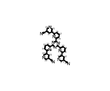 N#Cc1cncc(-c2cccc(-c3nc(-c4cccc(-c5cncc(C#N)c5)n4)nc(-c4cccc(-c5cncc(C#N)c5)n4)n3)n2)c1